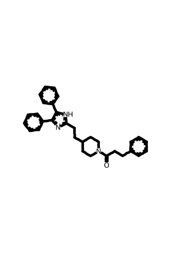 O=C(CCc1ccccc1)N1CCC(CCc2nc(-c3ccccc3)c(-c3ccccc3)[nH]2)CC1